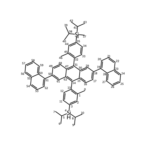 Cc1cc([SiH](C(C)C)C(C)C)ccc1-c1c2ccc(-c3cccc4ccccc34)cc2c(-c2ccc([Si](C)(C(C)C)C(C)C)cc2C)c2ccc(-c3cccc4ccccc34)cc12